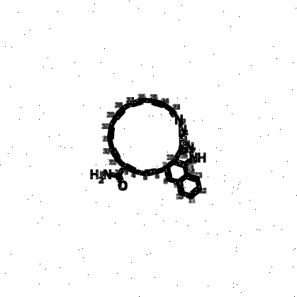 NC(=O)C1=CC=Cc2cc3ccccc3c3[nH]nc(c23)N=NN=CC=CC=CC=CC=CC=C1